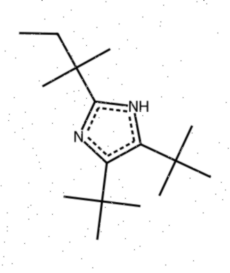 CCC(C)(C)c1nc(C(C)(C)C)c(C(C)(C)C)[nH]1